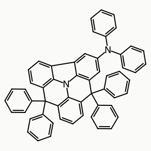 c1ccc(N(c2ccccc2)c2cc3c4c(c2)c2cccc5c2n4-c2c(cccc2C3(c2ccccc2)c2ccccc2)C5(c2ccccc2)c2ccccc2)cc1